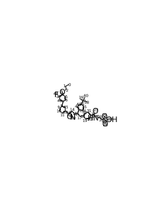 CCCOc1ccc(-c2cccc(-c3cc(C(Cc4ccc(C(=O)NCCS(=O)(=O)O)cc4)c4ccc(C(C)(C)C)cc4)no3)c2)cc1F